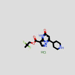 CC(F)(F)COC(=O)c1cnn2c(C3CCNCC3)cc(=O)[nH]c12.Cl